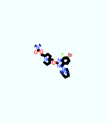 CN(C)C(=O)OCC1CCC2(COc3nc(N4CC5CCC(C4)N5)c4ccc(Br)c(F)c4n3)CCCN12